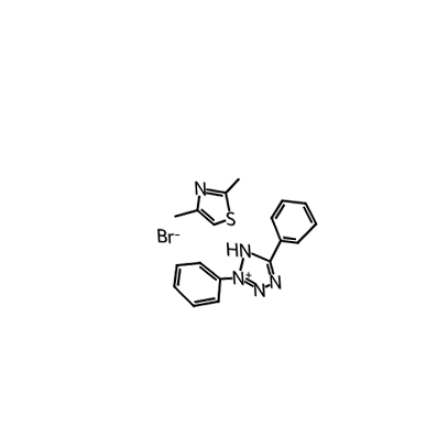 Cc1csc(C)n1.[Br-].c1ccc(-c2nn[n+](-c3ccccc3)[nH]2)cc1